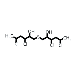 CC(Cl)CC(Cl)C(O)CSCC(O)C(Cl)CC(C)Cl